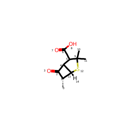 C[C@@H]1C(=O)C2C(C(=O)O)C(C)(C)S[C@@H]21